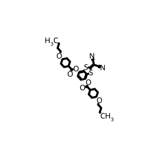 CCCCOC1CCC(C(=O)Oc2ccc(OC(=O)C3CCC(OCCCC)CC3)c3c2SC(=C(C#N)C#N)S3)CC1